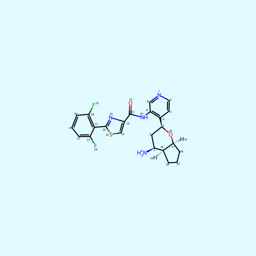 N[C@H]1C[C@@H](c2ccncc2NC(=O)c2csc(-c3c(F)cccc3F)n2)O[C@H]2CCC[C@H]21